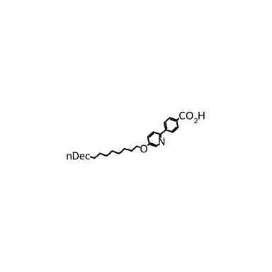 CCCCCCCCCCCCCCCCCCOc1ccc(-c2ccc(C(=O)O)cc2)nc1